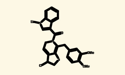 CCn1cc(C(=O)N2CC=C3C(=C2Cc2ccc(OC)c(OC)c2)SCC3Cl)c2ccccc21